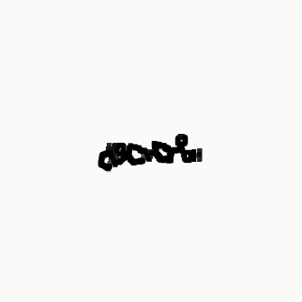 O=C(O)c1ccc(N2CCC(O)(CN3CCCC3)CC2)cc1